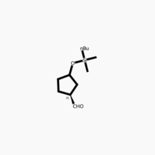 CCCC[Si](C)(C)OC1CC[C@H](C=O)C1